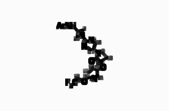 CC(=O)NC1CN(c2ncc(N3CC[C@@H](Oc4ccc(OCC(F)(F)F)nc4)C3=O)cn2)C1